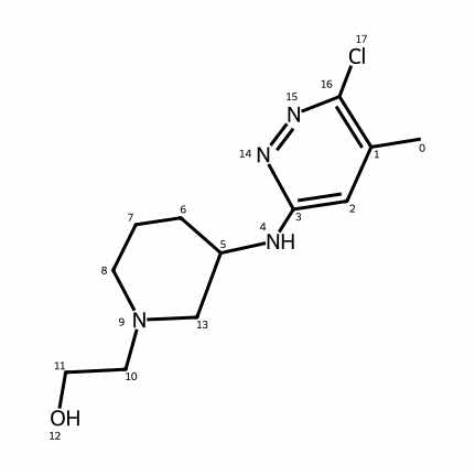 Cc1cc(NC2CCCN(CCO)C2)nnc1Cl